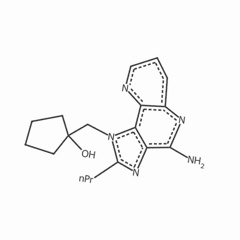 CCCc1nc2c(N)nc3cccnc3c2n1CC1(O)CCCC1